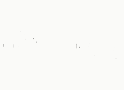 CCC(=O)c1ccc(N2CCC(C3CCN(C(=O)OC(C)(C)C)CC3)CC2)cc1